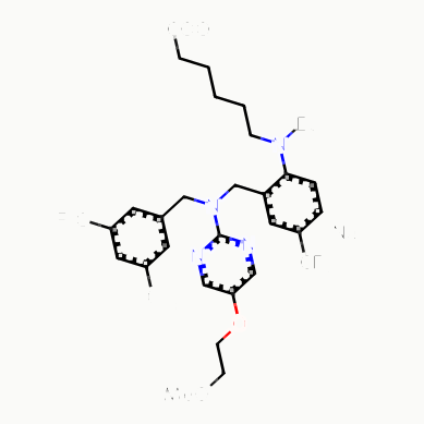 CCN(CCCCCC(=O)[O-])c1ccc(C(F)(F)F)cc1CN(Cc1cc(C(F)(F)F)cc(C(F)(F)F)c1)c1ncc(OCCOC)cn1.[Na+]